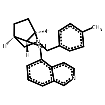 Cc1ccc(CN2C[C@H]3CC[C@@H]2[C@@H]3Nc2cccc3cnccc23)cc1